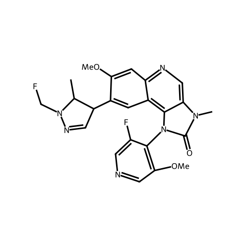 COc1cc2ncc3c(c2cc1C1C=NN(CF)C1C)n(-c1c(F)cncc1OC)c(=O)n3C